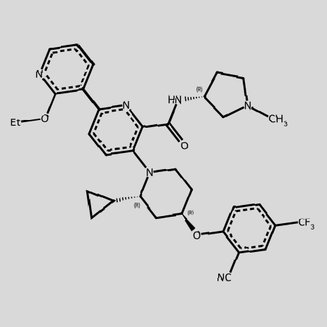 CCOc1ncccc1-c1ccc(N2CC[C@@H](Oc3ccc(C(F)(F)F)cc3C#N)C[C@@H]2C2CC2)c(C(=O)N[C@@H]2CCN(C)C2)n1